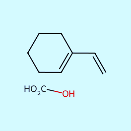 C=CC1=CCCCC1.O=C(O)O